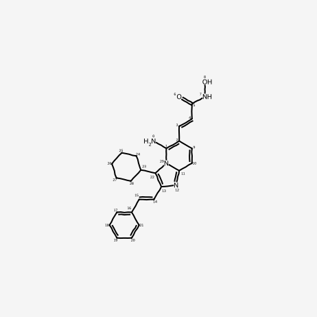 Nc1c(C=CC(=O)NO)ccc2nc(C=Cc3ccccc3)c(C3CCCCC3)n12